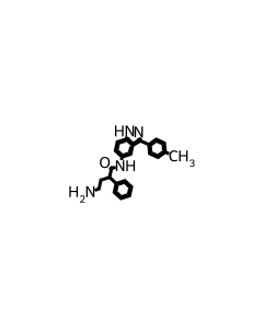 Cc1ccc(-c2n[nH]c3ccc(NC(=O)C(CCN)c4ccccc4)cc23)cc1